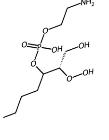 CCCCCC(OP(=O)(O)OCCN)[C@H](CO)OO